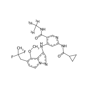 [2H]C([2H])([2H])NC(=O)c1cnc(NC(=O)C2CC2)cc1Nc1cnn2ccc(CC(C)(F)F)c(OC)c12